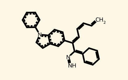 C=C\C=C/C=C(/C(N=N)=C1/C=CC=CC1)c1ccc2c(ccn2-c2ccccc2)c1